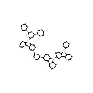 c1ccc(-c2cc(-c3ccccc3)nc(-n3c4ccccc4c4cc(-c5cncc(-c6ccc7c(c6)c6ccccc6n7-c6ccc7c(c6)c6ncccc6n7-c6ccccc6)c5)ccc43)c2)cc1